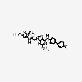 CCn1nc(C)cc1NC(=O)Cn1cnc2c(Nc3ccc(-c4ccc(Cl)cc4)cc3)nc(N)nc21